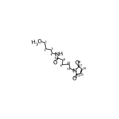 CCCCCNC(=O)CCCCN1C(=O)C=CC1=O